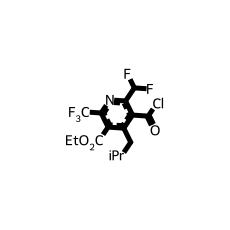 CCOC(=O)c1c(C(F)(F)F)nc(C(F)F)c(C(=O)Cl)c1CC(C)C